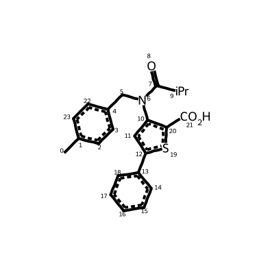 Cc1ccc(CN(C(=O)C(C)C)c2cc(-c3ccccc3)sc2C(=O)O)cc1